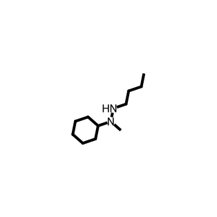 CCCCNN(C)C1CCCCC1